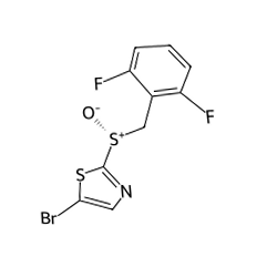 [O-][S@+](Cc1c(F)cccc1F)c1ncc(Br)s1